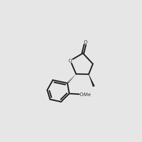 COc1ccccc1[C@@H]1OC(=O)C[C@H]1C